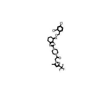 Cc1cc(C(F)(F)F)nn1CC(=O)N1CCN(c2nc3c(s2)C(=NOCc2ccc(Cl)cc2Cl)CCC3)CC1